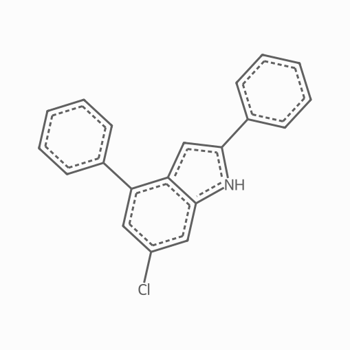 Clc1cc(-c2ccccc2)c2cc(-c3ccccc3)[nH]c2c1